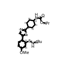 COc1ccc(-c2cnc(C3CCC(NC(=O)OC(C)C)CC3)s2)c(SNC(C)(C)C)c1